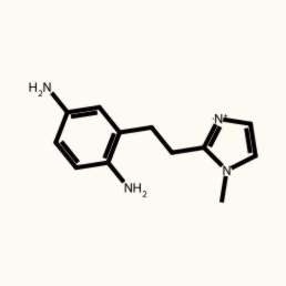 CN1C=C[N+]=C1CCc1cc(N)ccc1N